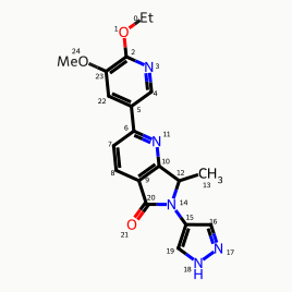 CCOc1ncc(-c2ccc3c(n2)C(C)N(c2cn[nH]c2)C3=O)cc1OC